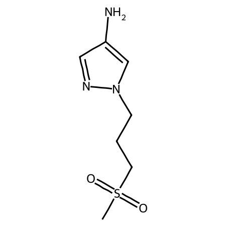 CS(=O)(=O)CCCn1cc(N)cn1